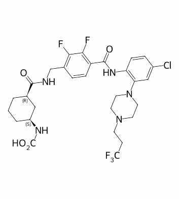 O=C(O)N[C@H]1CCC[C@@H](C(=O)NCc2ccc(C(=O)Nc3ccc(Cl)cc3N3CCN(CCC(F)(F)F)CC3)c(F)c2F)C1